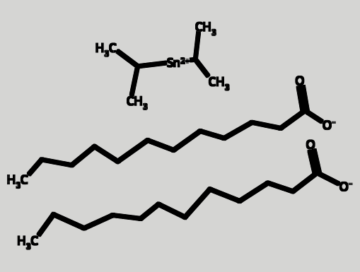 CCCCCCCCCCCC(=O)[O-].CCCCCCCCCCCC(=O)[O-].C[CH](C)[Sn+2][CH](C)C